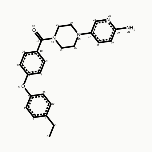 CCc1ccc(Oc2ccc(C(=O)N3CCN(c4ccc(N)nc4)CC3)cc2)cc1